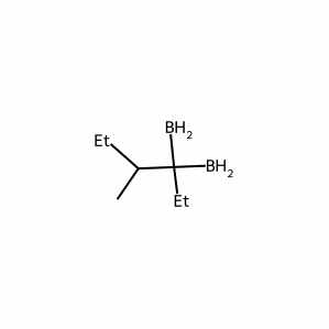 BC(B)(CC)C(C)CC